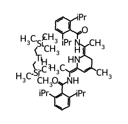 CC1=CC(=C(C)NC(=O)c2c(C(C)C)cccc2C(C)C)NC(=C(C)NC(=O)c2c(C(C)C)cccc2C(C)C)C1.C[Si](C)(C)[CH2][Ti][CH2][Si](C)(C)C